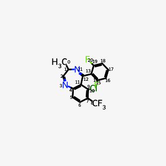 CC1C=Nc2ccc(C(F)(F)F)c(Cl)c2C(c2c(F)cccc2F)=N1